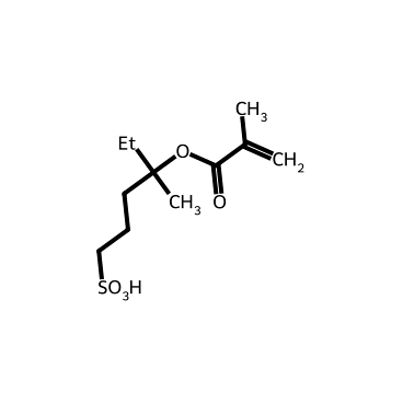 C=C(C)C(=O)OC(C)(CC)CCCS(=O)(=O)O